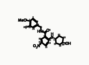 COc1ccc(CNC(=O)c2cc([N+](=O)[O-])ccc2N[C@H]2CC[C@H](O)CC2)cc1F